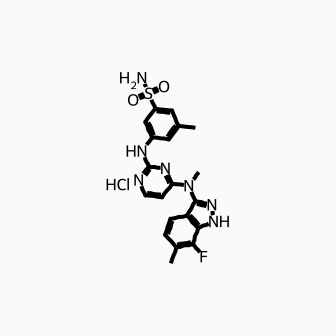 Cc1cc(Nc2nccc(N(C)c3n[nH]c4c(F)c(C)ccc34)n2)cc(S(N)(=O)=O)c1.Cl